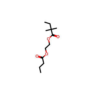 CCCC(=O)OCCOC(=O)C(C)(C)CC